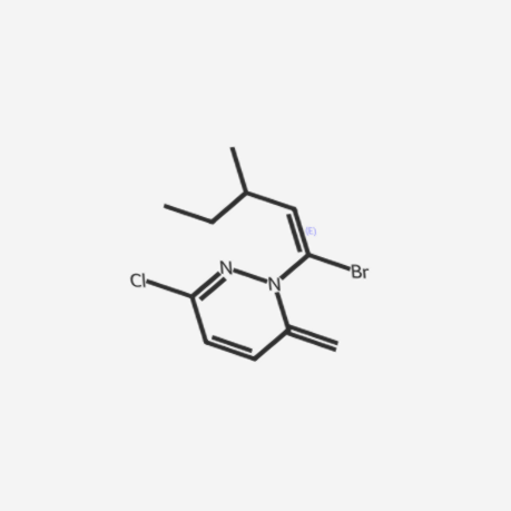 C=C1C=CC(Cl)=NN1/C(Br)=C\C(C)CC